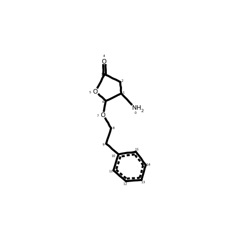 NC1CC(=O)OC1OCCc1ccccc1